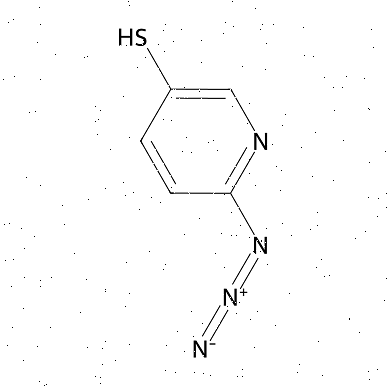 [N-]=[N+]=Nc1ccc(S)cn1